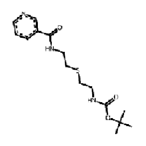 CC(C)(C)OC(=O)NCCSCCNC(=O)c1cccnc1